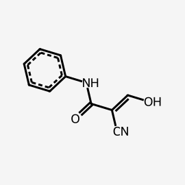 N#CC(=CO)C(=O)Nc1ccccc1